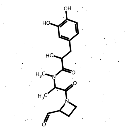 CC(C(=O)N1CCC1C=O)N(C)C(=O)C(O)Cc1ccc(O)c(O)c1